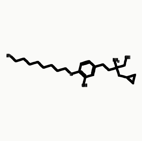 CC(C)CCCCCCCCOc1ccc(CCC(N)(CO)CC2CC2)cc1O